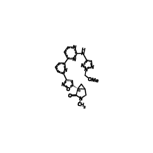 COCn1ncc(Nc2nccc(-c3cccc(-c4cc([C@]56CC5CN(C)C6=O)on4)n3)n2)n1